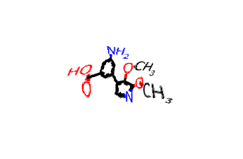 COc1nccc(-c2cc(N)cc(C(=O)O)c2)c1OC